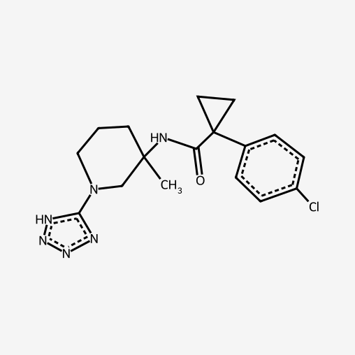 CC1(NC(=O)C2(c3ccc(Cl)cc3)CC2)CCCN(c2nnn[nH]2)C1